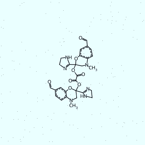 CN1CC(OC(=O)C(=O)OC2(C3=NCCN3)CN(C)c3ccc(C=O)cc3O2)(C2=NCCN2)Oc2cc(C=O)ccc21